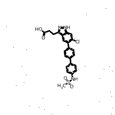 CS(=O)(=O)Nc1ccc(-c2ccc(-c3cc4c(CCC(=O)O)n[nH]c4cc3Cl)cc2)cc1